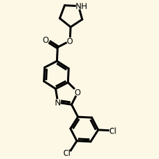 O=C(OC1CCNC1)c1ccc2nc(-c3cc(Cl)cc(Cl)c3)oc2c1